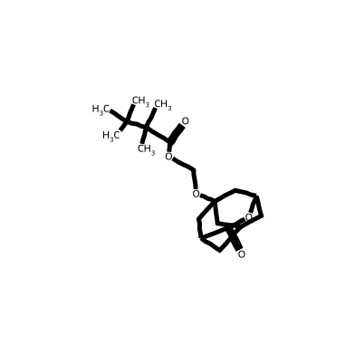 CC(C)(C)C(C)(C)C(=O)OCOC12CC3CC(C1)OC(=O)C(C3)C2